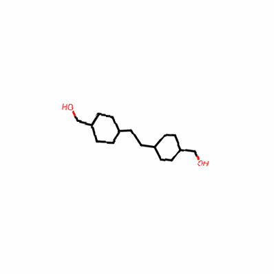 OCC1CCC(CCC2CCC(CO)CC2)CC1